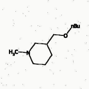 CCCCOCC1CCCN(C)C1